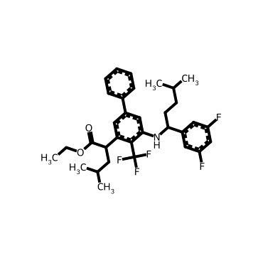 CCOC(=O)C(CC(C)C)c1cc(-c2ccccc2)cc(NC(CCC(C)C)c2cc(F)cc(F)c2)c1C(F)(F)F